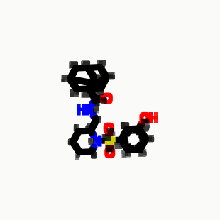 O=C(NCC1CCCCN1S(=O)(=O)c1cccc(O)c1)C12CC3CC(CC(C3)C1)C2